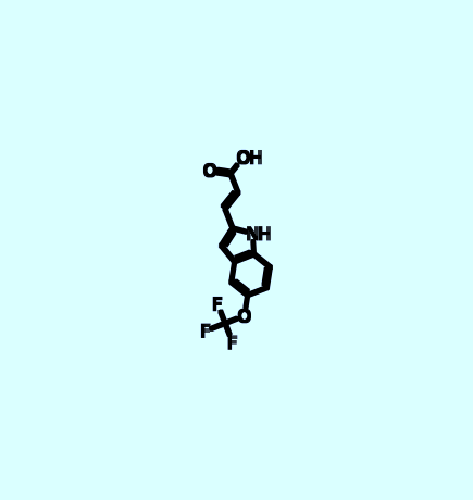 O=C(O)C=Cc1cc2cc(OC(F)(F)F)ccc2[nH]1